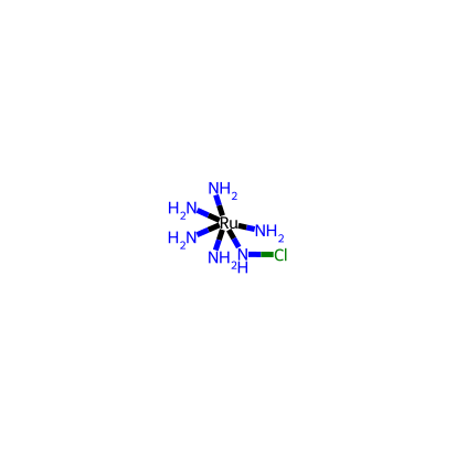 [NH2][Ru]([NH2])([NH2])([NH2])([NH2])[NH]Cl